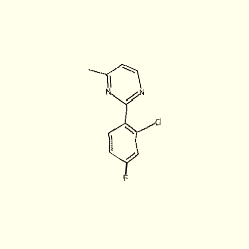 Cc1ccnc(-c2ccc(F)cc2Cl)n1